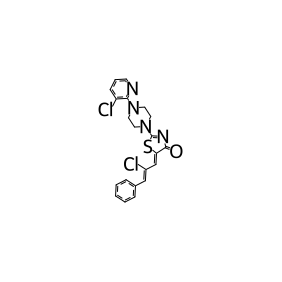 O=C1N=C(N2CCN(c3ncccc3Cl)CC2)SC1=CC(Cl)=Cc1ccccc1